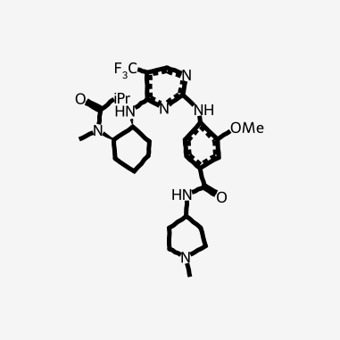 COc1cc(C(=O)NC2CCN(C)CC2)ccc1Nc1ncc(C(F)(F)F)c(N[C@@H]2CCCC[C@H]2N(C)C(=O)C(C)C)n1